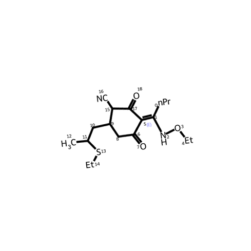 CCC/C(NOCC)=C1/C(=O)CC(CC(C)SCC)C(C#N)C1=O